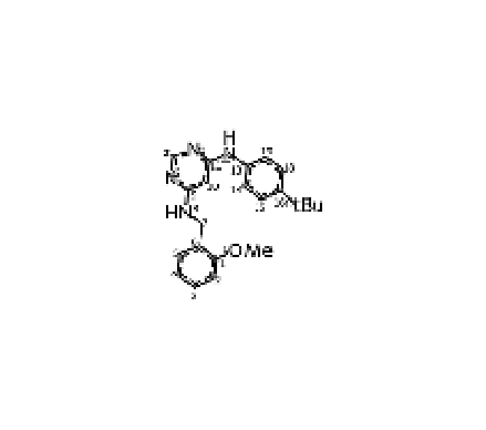 COc1ccccc1CNc1cc(Nc2ccc(C(C)(C)C)cc2)ncn1